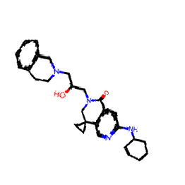 O=C1c2cc(NC3CCCCC3)ncc2C2(CC2)CN1CC(O)CN1CCc2ccccc2C1